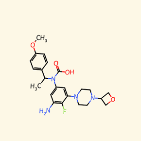 COc1ccc(C(C)N(C(=O)O)c2cc(N)c(F)c(N3CCN(C4COC4)CC3)c2)cc1